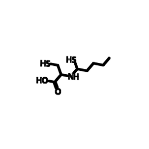 CCCCC(S)NC(CS)C(=O)O